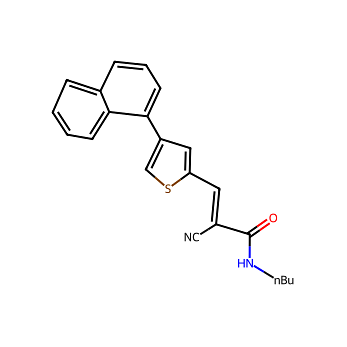 CCCCNC(=O)/C(C#N)=C/c1cc(-c2cccc3ccccc23)cs1